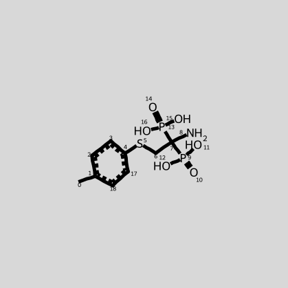 Cc1ccc(SCC(N)(P(=O)(O)O)P(=O)(O)O)cc1